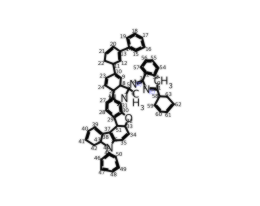 C/C(=N\C(=N/C(C)(N)C1C=C(C2C=C(c3ccccc3)C=CC2)C=CC1c1ccc2c(c1)OC1C=CC3=C(C4=CC=CCC4N3c3ccccc3)C21)c1ccccc1)C1C=CC=CC1